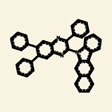 c1ccc(-c2cc3nc(-c4ccccc4)c(-n4c5ccccc5c5cc6ccccc6cc54)nc3cc2-c2ccccc2)cc1